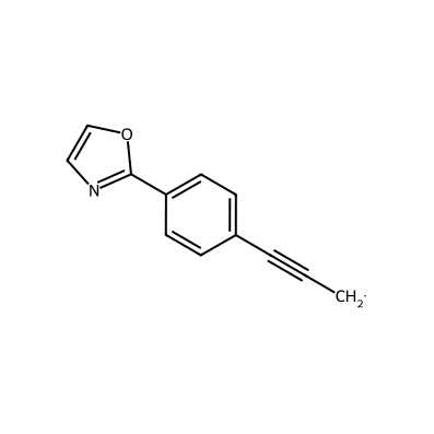 [CH2]C#Cc1ccc(-c2ncco2)cc1